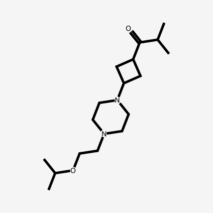 CC(C)OCCN1CCN(C2CC(C(=O)C(C)C)C2)CC1